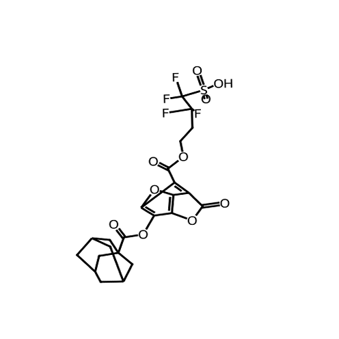 O=C1Oc2c(OC(=O)C34CC5CC(CC(C5)C3)C4)c3oc2c1c3C(=O)OCCC(F)(F)C(F)(F)S(=O)(=O)O